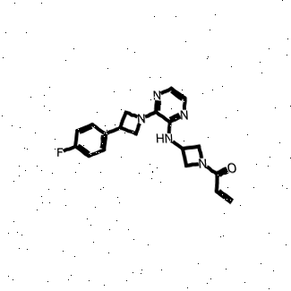 C=CC(=O)N1CC(Nc2nccnc2N2CC(c3ccc(F)cc3)C2)C1